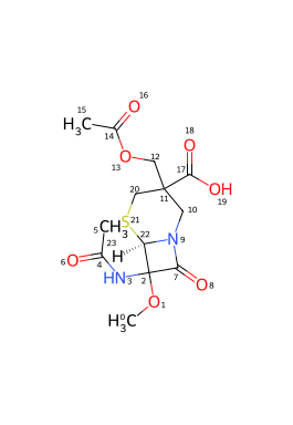 COC1(NC(C)=O)C(=O)N2CC(COC(C)=O)(C(=O)O)CS[C@@H]21